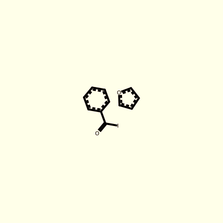 O=C(I)c1ccccc1.c1ccoc1